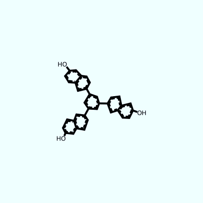 Oc1ccc2cc(-c3cc(-c4ccc5cc(O)ccc5c4)cc(-c4ccc5cc(O)ccc5c4)c3)ccc2c1